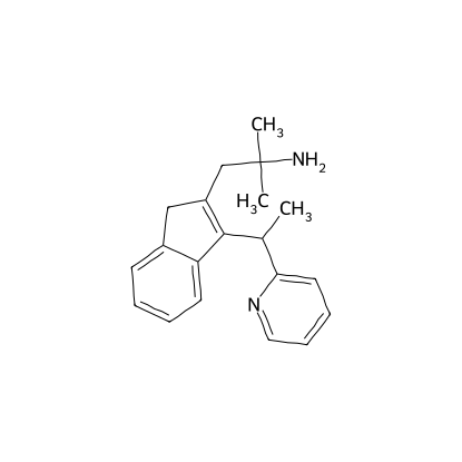 CC(C1=C(CC(C)(C)N)Cc2ccccc21)c1ccccn1